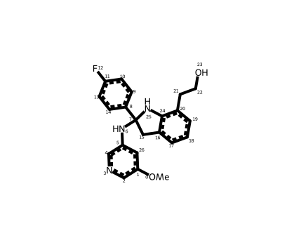 COc1cncc(NC2(c3ccc(F)cc3)Cc3cccc(CCO)c3N2)c1